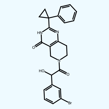 O=C(C(O)c1cccc(Br)c1)N1CCc2nc(C3(c4ccccc4)CC3)[nH]c(=O)c2C1